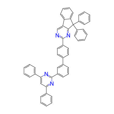 c1ccc(-c2cc(-c3ccccc3)nc(-c3cccc(-c4ccc(-c5ncc6c(n5)C(c5ccccc5)(c5ccccc5)c5ccccc5-6)cc4)c3)n2)cc1